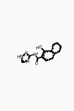 O=C(Nc1nc[nH]n1)c1ccc2ccccc2c1O